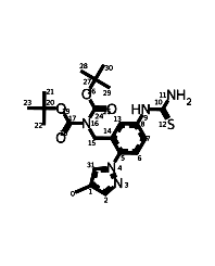 Cc1cnn(-c2ccc(NC(N)=S)cc2CN(C(=O)OC(C)(C)C)C(=O)OC(C)(C)C)c1